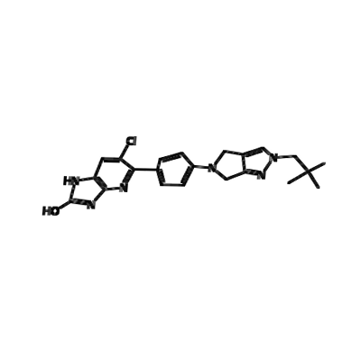 CC(C)(C)Cn1cc2c(n1)CN(c1ccc(-c3nc4nc(O)[nH]c4cc3Cl)cc1)C2